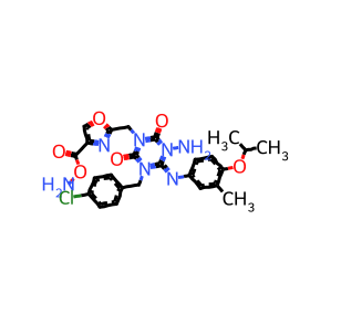 Cc1cc(/N=c2\n(N)c(=O)n(Cc3nc(C(=O)ON)co3)c(=O)n2Cc2ccc(Cl)cc2)ccc1OC(C)C